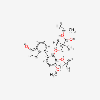 [2H]C([2H])([2H])Oc1c(OC)ccc(-c2cccc3c2CCC3=O)c1OCC(C)(C)C(=O)OC(C)C